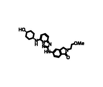 COCCN1Cc2cc(Nc3nc4cccc(N[C@H]5CC[C@@H](O)CC5)n4n3)ccc2C1=O